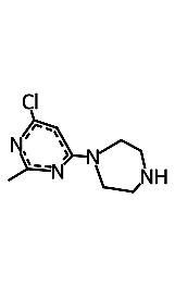 Cc1nc(Cl)cc(N2CCNCC2)n1